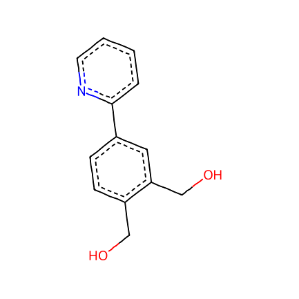 OCc1ccc(-c2ccccn2)cc1CO